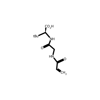 C=CC(=O)NCC(=O)N[C@H](C(=O)O)C(C)(C)C